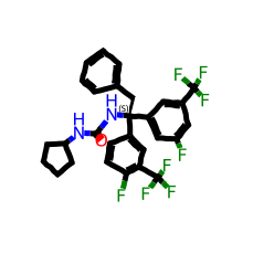 O=C(NC1CCCC1)N[C@](Cc1ccccc1)(c1cc(F)cc(C(F)(F)F)c1)c1ccc(F)c(C(F)(F)F)c1